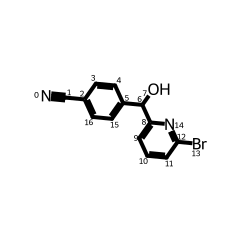 N#Cc1ccc(C(O)c2cccc(Br)n2)cc1